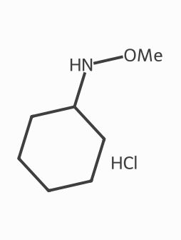 CONC1CCCCC1.Cl